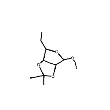 CCC1OC(OC)C2OC(C)(C)OC12